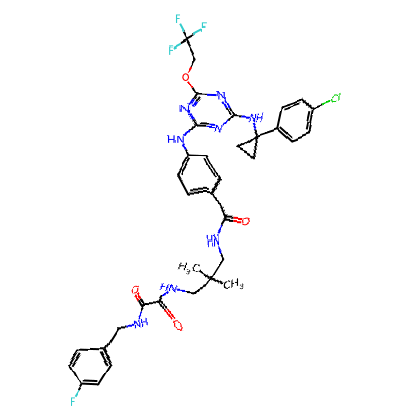 CC(C)(CNC(=O)C(=O)NCc1ccc(F)cc1)CNC(=O)c1ccc(Nc2nc(NC3(c4ccc(Cl)cc4)CC3)nc(OCC(F)(F)F)n2)cc1